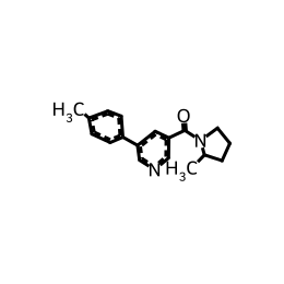 Cc1ccc(-c2cncc(C(=O)N3CCCC3C)c2)cc1